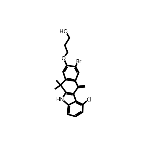 C=C1c2cc(Br)c(OCCCO)cc2C(C)(C)c2[nH]c3cccc(Cl)c3c21